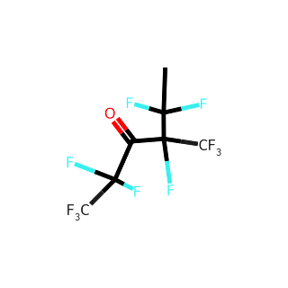 CC(F)(F)C(F)(C(=O)C(F)(F)C(F)(F)F)C(F)(F)F